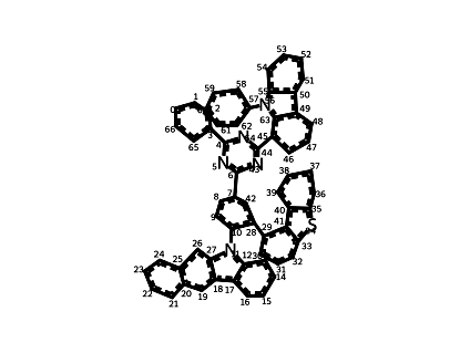 c1ccc(-c2nc(-c3ccc(-n4c5ccccc5c5cc6ccccc6cc54)c(-c4cccc5sc6ccccc6c45)c3)nc(-c3cccc4c5ccccc5n(-c5ccccc5)c34)n2)cc1